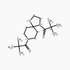 CC(C)(C)C(=O)N1CCC2(CC1)SCCN2C(=O)C(C)(C)C